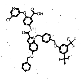 O=C(O)c1cc(NC(=O)c2cc3cc(OCc4ccccc4)ccc3n2Cc2ccc(COc3cc(C(F)(F)F)cc(C(F)(F)F)c3)cc2)ccc1Oc1cncc(Cl)c1